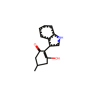 CC1CC(=O)C(c2c[nH]c3ccccc23)=C(O)C1